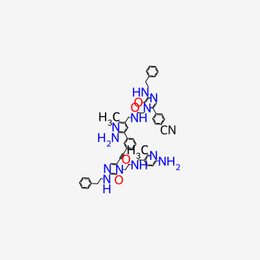 Cc1nc(N)ccc1CNC(=O)Cn1c(C#Cc2cccc(-c3cc(CNC(=O)Cn4c(-c5ccc(C#N)cc5)cnc(NCCc5ccccc5)c4=O)c(C)nc3N)c2)cnc(NCCc2ccccc2)c1=O